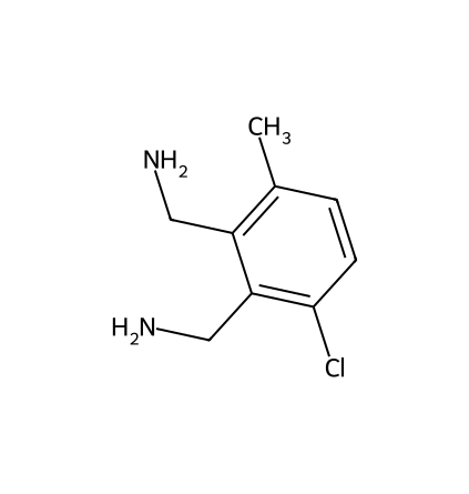 Cc1ccc(Cl)c(CN)c1CN